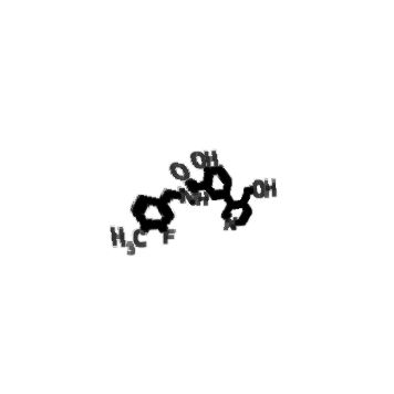 Cc1ccc(CNC(=O)c2cc(-c3cnccc3CO)ccc2O)cc1F